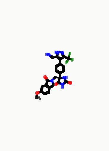 COc1ccc2c(c1)C(=O)N(C[C@@]1(c3ccc(-c4c(C(F)(F)F)n[nH]c4C=N)cc3)NC(=O)NC1=O)C2